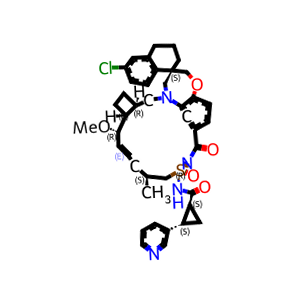 CO[C@H]1/C=C/C[C@H](C)C[S@@](=O)(NC(=O)[C@H]2C[C@@H]2c2cccnc2)=NC(=O)c2ccc3c(c2)N(C[C@@H]2CC[C@H]21)C[C@@]1(CCCc2cc(Cl)ccc21)CO3